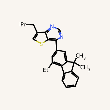 CCc1cc(-c2ncnc3c(CC(C)C)csc23)cc2c1-c1ccccc1C2(C)C